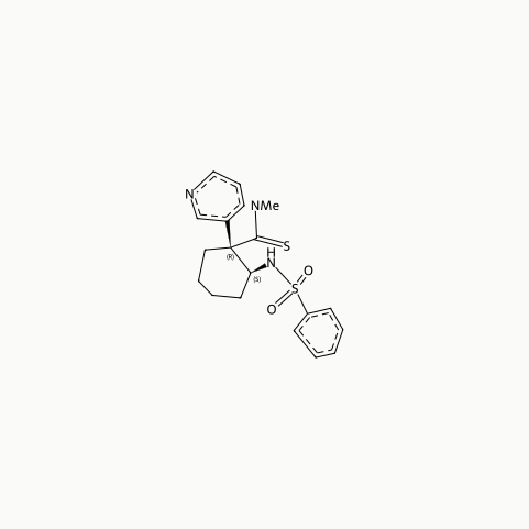 CNC(=S)[C@@]1(c2cccnc2)CCCC[C@@H]1NS(=O)(=O)c1ccccc1